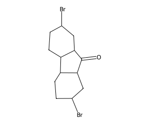 O=C1C2CC(Br)CCC2C2CCC(Br)CC12